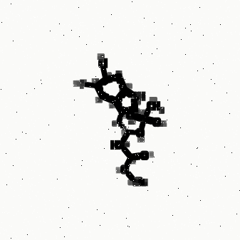 CC(C)(C)OC(=O)N[C@H](Cc1c[nH]c2cc(Cl)c(F)cc12)OS(C)(=O)=O